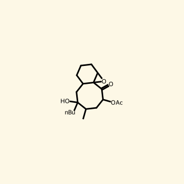 CCCCC1(O)CC2CCCC3OC23C(=O)C(OC(C)=O)CC1C